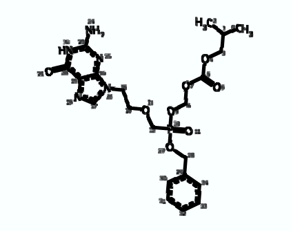 CC(C)COC(=O)OCOP(=O)(COCCn1cnc2c(=O)[nH]c(N)nc21)OCc1ccccc1